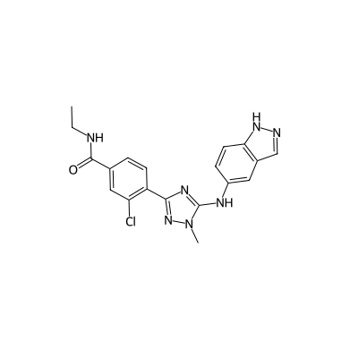 CCNC(=O)c1ccc(-c2nc(Nc3ccc4[nH]ncc4c3)n(C)n2)c(Cl)c1